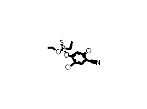 CCOP(=S)(CC)Oc1cc(Cl)c(C#N)cc1Cl